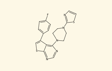 Fc1ccc(-c2csc3ncnc(N4CCN(c5nccs5)CC4)c23)cc1